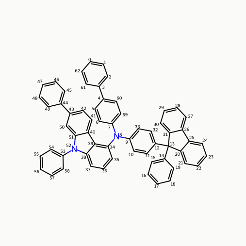 c1ccc(-c2ccc(N(c3ccc(C4(c5ccccc5)c5ccccc5-c5ccccc54)cc3)c3cccc4c3c3ccc(-c5ccccc5)cc3n4-c3ccccc3)cc2)cc1